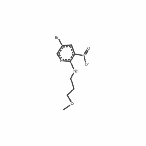 COCCCNc1ncc(Br)cc1[N+](=O)[O-]